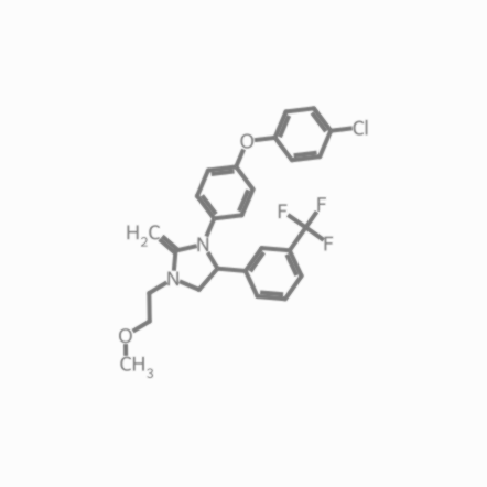 C=C1N(CCOC)CC(c2cccc(C(F)(F)F)c2)N1c1ccc(Oc2ccc(Cl)cc2)cc1